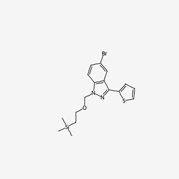 C[Si](C)(C)CCOCn1nc(-c2cccs2)c2cc(Br)ccc21